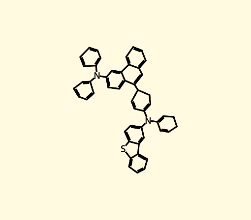 C1=CC(N(C2=CCC(c3cc4ccccc4c4cc(N(c5ccccc5)c5ccccc5)ccc34)C=C2)c2ccc3sc4ccccc4c3c2)=CCC1